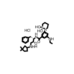 CCNc1cc(C(=O)N[C@@H](Cc2ccccc2)[C@H](O)CNC2CCC(C)(C)C2)cc(N2CCCCS2(O)O)c1.Cl